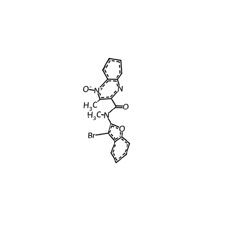 Cc1c(C(=O)N(C)c2oc3ccccc3c2Br)nc2ccccc2[n+]1[O-]